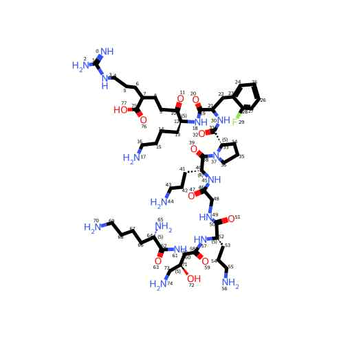 N=C(N)NCCCC(CCC(=O)[C@H](CCCCN)NC(=O)C(Cc1ccccc1F)NC(=O)[C@@H]1CCCN1C(=O)[C@@H](CCCN)NC(=O)CNC(=O)[C@H](CCCN)NC(=O)[C@@H](NC(=O)[C@@H](N)CCCCN)[C@@H](O)CN)C(=O)O